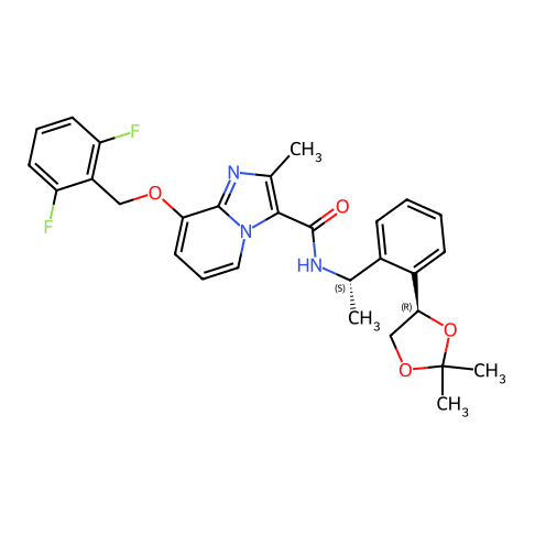 Cc1nc2c(OCc3c(F)cccc3F)cccn2c1C(=O)N[C@@H](C)c1ccccc1[C@@H]1COC(C)(C)O1